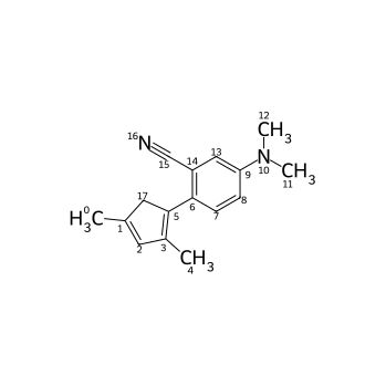 CC1=CC(C)=C(c2ccc(N(C)C)cc2C#N)C1